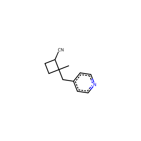 CC1(Cc2ccncc2)CCC1C#N